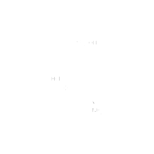 Cl.NC[C@H]1CC[C@H](C(=O)c2ccc(CCC(=O)O)cc2)CC1